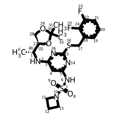 C[C@@H](Nc1cc(NS(=O)(=O)N2CCC2)nc(SCc2cccc(F)c2F)n1)[C@H]1COC(C)(C)O1